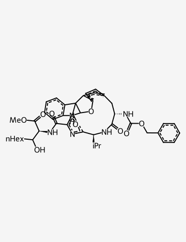 CCCCCCC(O)[C@H](NC(=O)c1nc2oc1C13c4ccccc4NC1Oc1ccc(cc13)C[C@H](NC(=O)OCc1ccccc1)C(=O)N[C@H]2C(C)C)C(=O)OC